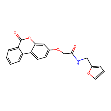 O=C(COc1ccc2c(c1)oc(=O)c1ccccc12)NCc1ccco1